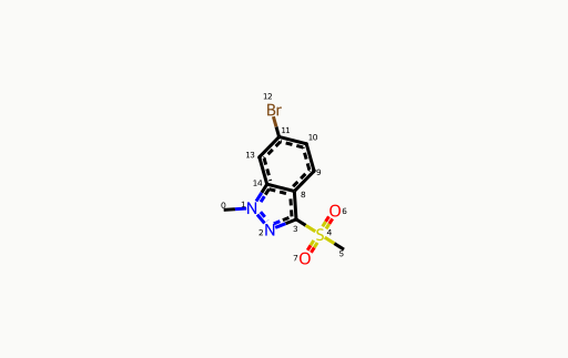 Cn1nc(S(C)(=O)=O)c2ccc(Br)cc21